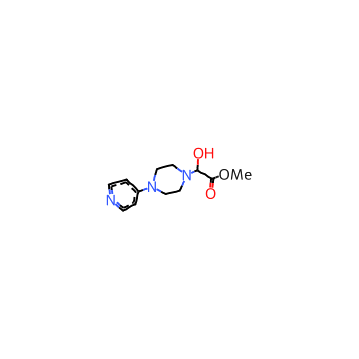 COC(=O)C(O)N1CCN(c2ccncc2)CC1